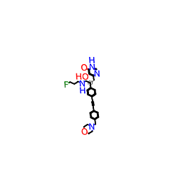 O=c1[nH]cnc(C[C@@H](CNCCCF)c2ccc(C#Cc3ccc(CN4CCOCC4)cc3)cc2)c1O